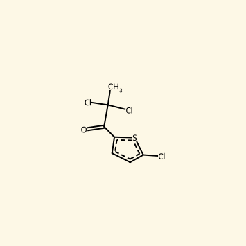 CC(Cl)(Cl)C(=O)c1ccc(Cl)s1